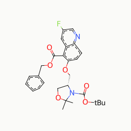 CC(C)(C)OC(=O)N1[C@@H](COc2ccc3ncc(F)cc3c2C(=O)OCc2ccccc2)COC1(C)C